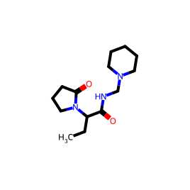 CCC(C(=O)NCN1CCCCC1)N1CCCC1=O